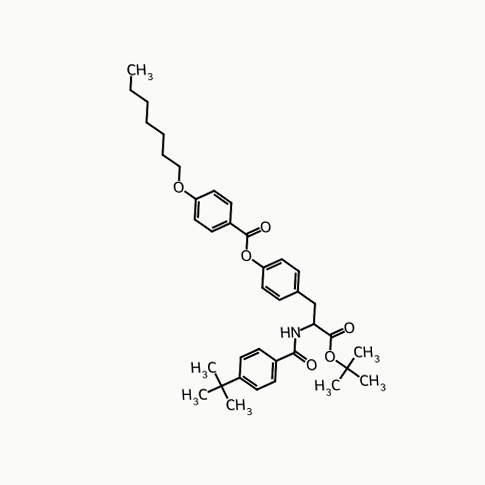 CCCCCCCOc1ccc(C(=O)Oc2ccc(CC(NC(=O)c3ccc(C(C)(C)C)cc3)C(=O)OC(C)(C)C)cc2)cc1